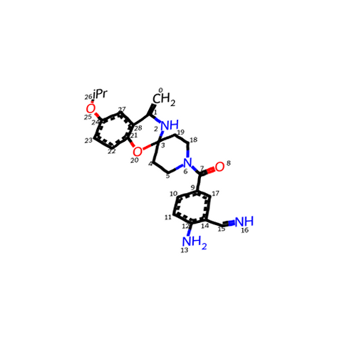 C=C1NC2(CCN(C(=O)c3ccc(N)c(C=N)c3)CC2)Oc2ccc(OC(C)C)cc21